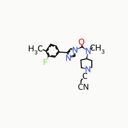 Cc1ccc(-c2cn(C(=O)N(C)C3CCN(CCC#N)CC3)cn2)cc1F